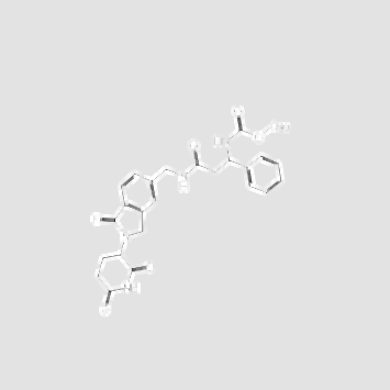 CC(C)(C)OC(=O)NC(CC(=O)NCc1ccc2c(c1)CN(C1CCC(=O)NC1=O)C2=O)c1ccccc1